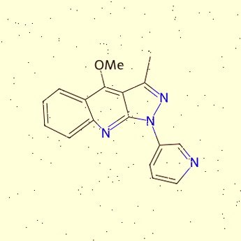 COc1c2ccccc2nc2c1c(C)nn2-c1cccnc1